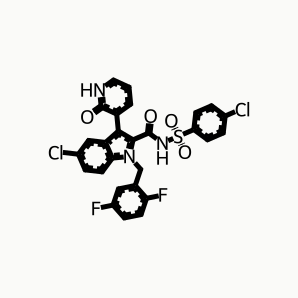 O=C(NS(=O)(=O)c1ccc(Cl)cc1)c1c(-c2ccc[nH]c2=O)c2cc(Cl)ccc2n1Cc1cc(F)ccc1F